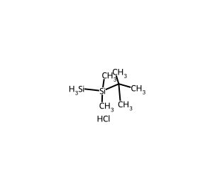 CC(C)(C)[Si](C)(C)[SiH3].Cl